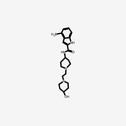 Bc1cccc2[nH]c(C(=O)NC3CCN(CCN4CCC(O)CC4)CC3)cc12